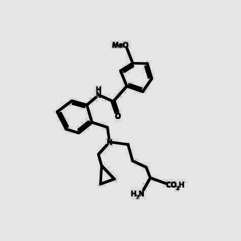 COc1cccc(C(=O)Nc2ccccc2CN(CCCC(N)C(=O)O)CC2CC2)c1